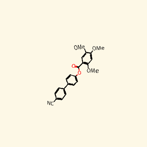 COc1cc(OC)c(C(=O)Oc2ccc(-c3ccc(C#N)cc3)cc2)cc1OC